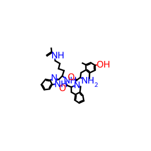 C=C(C)NCCCCC(NC(=O)C1Cc2ccccc2CN1C(=O)C(N)Cc1c(C)cc(O)cc1C)c1nc2ccccc2[nH]1